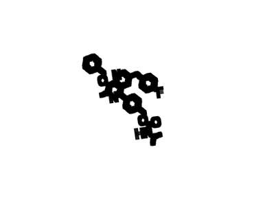 Cc1nc(-c2ccc(COC(=O)NC(C)C)cc2)c2cc(Cc3ccc(F)cc3)cnc2c1OCc1ccccc1